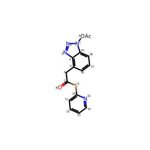 CC(=O)On1nnc2c(CC(=O)Sc3ccccn3)cccc21